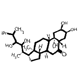 CC(C)C(C)C(O)C(O)[C@@H](C)[C@H]1CC[C@H]2[C@@H]3CC(=O)[C@H]4C[C@H](O)[C@H](O)C[C@]4(C)[C@H]3CC[C@]12C